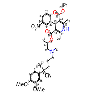 COc1ccc(C(C#N)(CCCN(C)CC(C)OC(=O)C2=C(C)NC(C)=C(C(=O)OC(C)C)C2c2cccc([N+](=O)[O-])c2)C(C)C)cc1OC